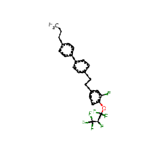 CCCc1ccc(-c2ccc(CCc3ccc(OC(F)(F)C(F)C(F)(F)F)c(F)c3)cc2)cc1